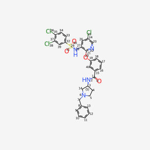 O=C(N[C@H]1CCN(Cc2ccccc2)C1)c1cccc(Oc2ncc(Cl)cc2NS(=O)(=O)c2ccc(Cl)c(Cl)c2)c1